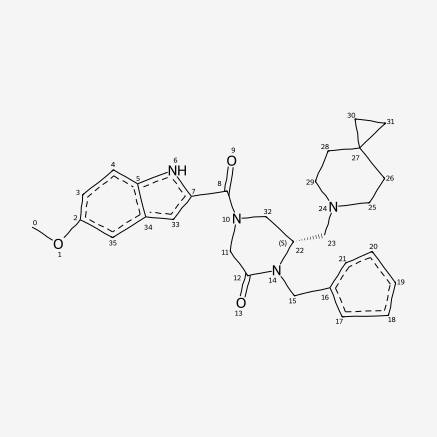 COc1ccc2[nH]c(C(=O)N3CC(=O)N(Cc4ccccc4)[C@@H](CN4CCC5(CC4)CC5)C3)cc2c1